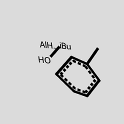 CCC(C)O.Cc1ccccc1.[AlH3]